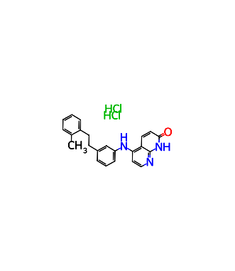 Cc1ccccc1CCc1cccc(Nc2ccnc3[nH]c(=O)ccc23)c1.Cl.Cl